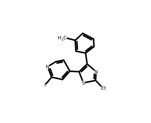 CCc1nc(-c2cccc(C)c2)c(-c2ccnc(I)c2)s1